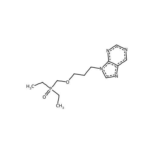 CCP(=O)(CC)COCCCn1cnc2cncnc21